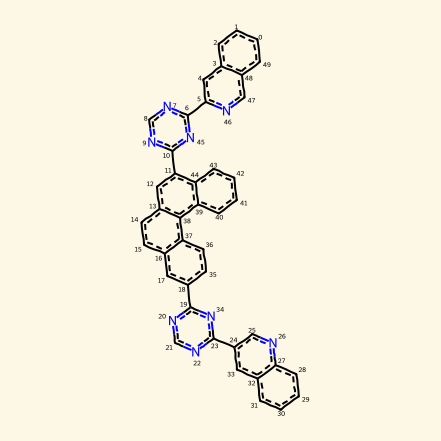 c1ccc2cc(-c3ncnc(-c4cc5ccc6cc(-c7ncnc(-c8cnc9ccccc9c8)n7)ccc6c5c5ccccc45)n3)ncc2c1